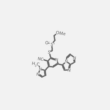 COCC[S@@+]([O-])CSc1nc(-c2cnc3cnccn23)cc(-c2ccnn2C)c1C#N